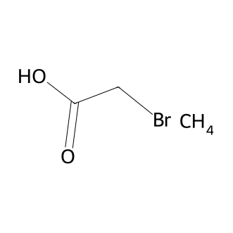 C.O=C(O)CBr